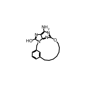 Nc1nc2nc3c1nc(O)n3Cc1cccc(c1)CCCCCCCO2